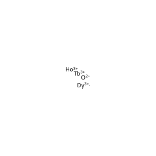 [Dy+3].[Ho+3].[O-2].[Tb+3]